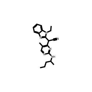 CCCC(C)Nc1ncc(C)c(C(C#N)c2nc3ccccc3n2CC)n1